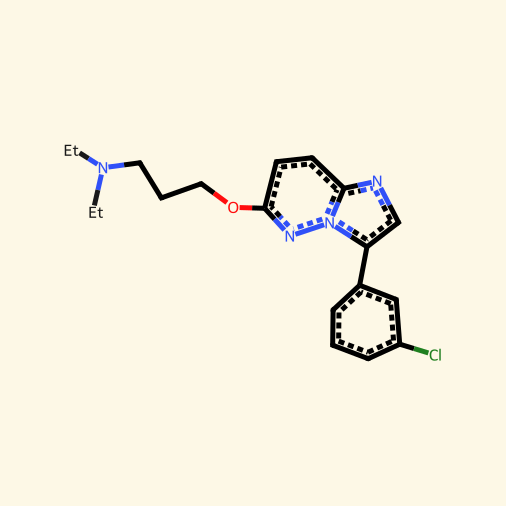 CCN(CC)CCCOc1ccc2ncc(-c3cccc(Cl)c3)n2n1